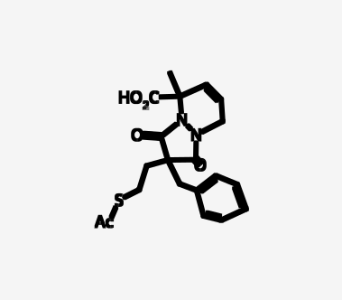 CC(=O)SCCC1(Cc2ccccc2)C(=O)N2CC=CC(C)(C(=O)O)N2C1=O